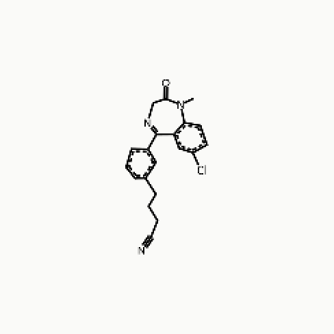 CN1C(=O)CN=C(c2cccc(CCCC#N)c2)c2cc(Cl)ccc21